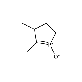 CC1=[P+]([O-])CCC1C